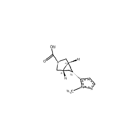 Cn1nccc1[C@@H]1[C@@H]2CN(C(=O)O)C[C@@H]21